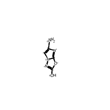 Nc1cn2nc(O)oc2n1